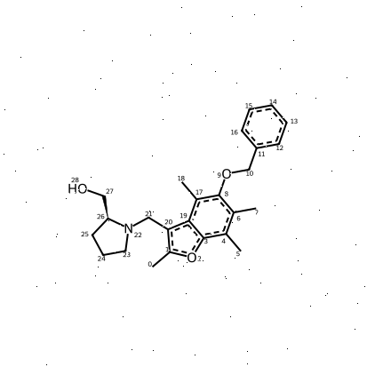 Cc1oc2c(C)c(C)c(OCc3ccccc3)c(C)c2c1CN1CCC[C@H]1CO